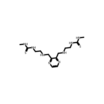 CNC(=S)NCCNCc1nccnc1CNCCNC(=S)NC